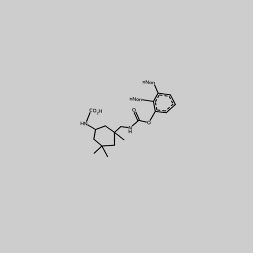 CCCCCCCCCc1cccc(OC(=O)NCC2(C)CC(NC(=O)O)CC(C)(C)C2)c1CCCCCCCCC